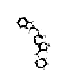 c1ccc2oc(Oc3ccc4c(CN5CCCCC5)c[nH]c4c3)nc2c1